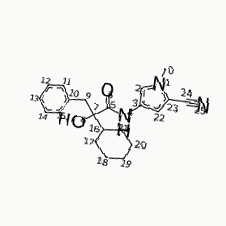 Cn1cc(NC(=O)C(O)(Cc2ccccc2)C2CCCCC2)cc1C#N